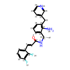 C[C@H](NC(=O)C=Cc1cccc(F)c1F)c1cccc(Cc2cccnc2)c1N